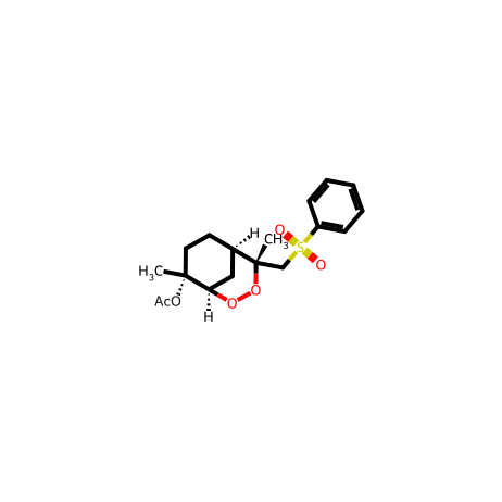 CC(=O)O[C@]1(C)CC[C@@H]2C[C@H]1OO[C@@]2(C)CS(=O)(=O)c1ccccc1